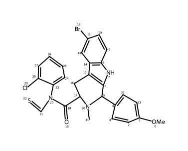 COc1ccc(C2c3[nH]c4ccc(Br)cc4c3CC(C(=O)N(C=S)c3ccccc3Cl)N2C)cc1